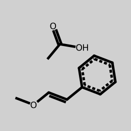 CC(=O)O.COC=Cc1ccccc1